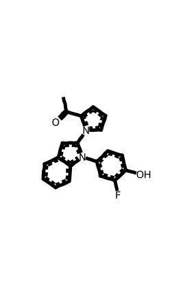 CC(=O)c1cccn1-c1cc2ccccc2n1-c1ccc(O)c(F)c1